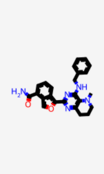 CN1CCCc2nc(-c3occ4c(C(N)=O)cccc34)nc(NCc3ccccc3)c21